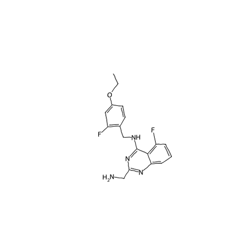 CCOc1ccc(CNc2nc(CN)nc3cccc(F)c23)c(F)c1